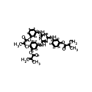 C=C(C)C(=O)Oc1cccc(Nc2nc(Nc3cccc(OC(=O)C(=C)C)c3)nc(Nc3cccc(OC(=O)C(=C)C)c3)n2)c1